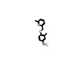 Cc1cccc(COc2ccc(N)cc2C)n1